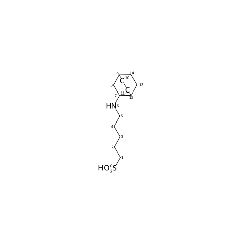 O=S(=O)(O)CCCCCNC1CC2CCC1CC2